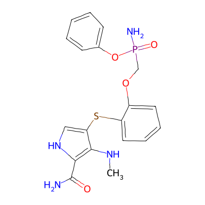 CNc1c(Sc2ccccc2OCP(N)(=O)Oc2ccccc2)c[nH]c1C(N)=O